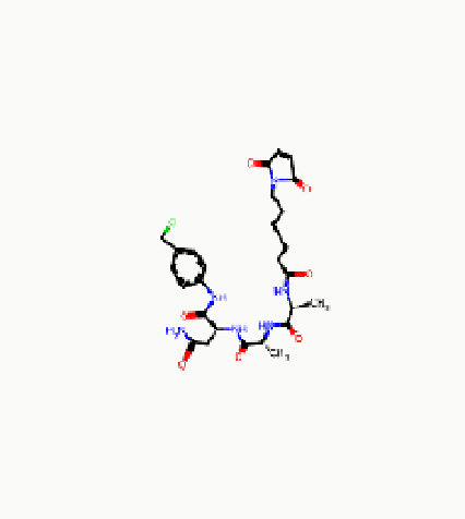 C[C@H](NC(=O)CCCCCN1C(=O)C=CC1=O)C(=O)N[C@H](C)C(=O)N[C@@H](CC(N)=O)C(=O)Nc1ccc(CCl)cc1